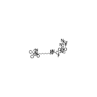 N#Cc1ncc(N2C(=O)N(Cc3ccc(-c4cn(CCCCCCCCC(=O)NOC(c5ccccc5)(c5ccccc5)c5ccccc5)nn4)cc3F)C3(CCC3)C2=O)cc1C(F)(F)F